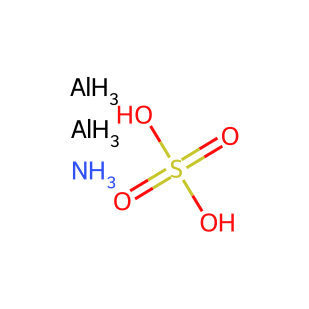 N.O=S(=O)(O)O.[AlH3].[AlH3]